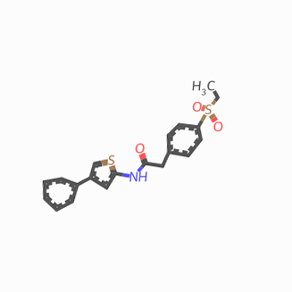 CCS(=O)(=O)c1ccc(CC(=O)Nc2cc(-c3ccccc3)cs2)cc1